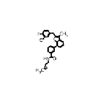 COCCNC(=O)c1cccc(-c2cccc3c(C)c(Cc4ccc(F)c(Cl)c4)sc23)c1